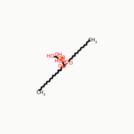 CCCCCCCCCCCCCCCC=CC(=O)O[C@H](COC(=O)CCCCCCCCCCCCCCC)COP(=O)(O)OCC(O)CO